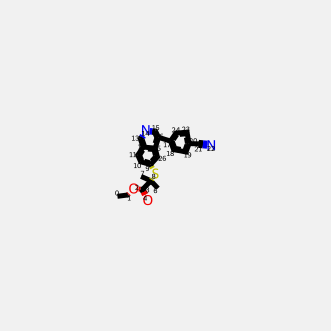 CCOC(=O)C(C)(C)Sc1ccc2cncc(-c3ccc(C#N)cc3)c2c1